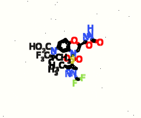 Cc1nn(C(F)F)cc1S(=O)(=O)N1C[C@H](c2n[nH]c(=O)o2)Oc2ccc(N(C(=O)O)C(C)(C)C(F)(F)F)cc21